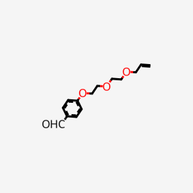 C=CCOCCOCCOc1ccc(C=O)cc1